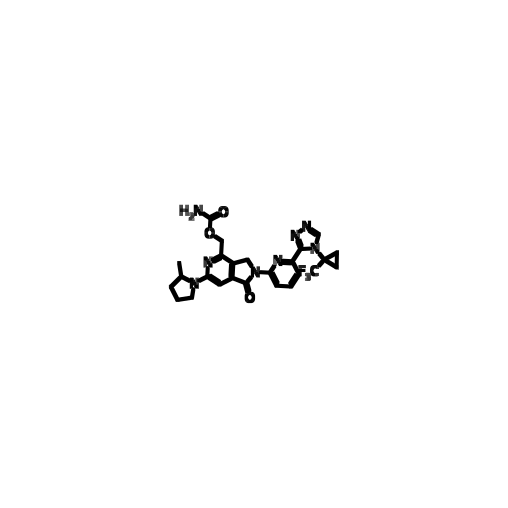 CC1CCCN1c1cc2c(c(COC(N)=O)n1)CN(c1cccc(-c3nncn3C3(C(F)(F)F)CC3)n1)C2=O